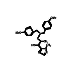 COc1ccc(CN(Cc2ccc(OC)cc2)SC(C)C(O)c2ncnn2C)cc1